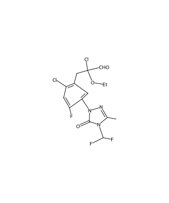 CCOC(Cl)(C=O)Cc1cc(-n2nc(C)n(C(F)F)c2=O)c(F)cc1Cl